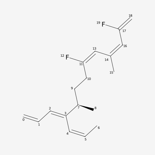 C=C/C=C(\C=C/C)[C@H](C)CC/C(F)=C\C(C)=C/C(=C)F